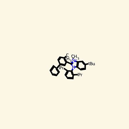 Cc1ccc(-c2ccccc2)cc1-c1n(-c2c(C(C)C)cccc2C(C)C)c2ccc(C(C)(C)C)cc2[n+]1C